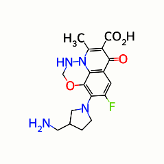 Cc1c(C(=O)O)c(=O)c2cc(F)c(N3CCC(CN)C3)c3c2n1NCO3